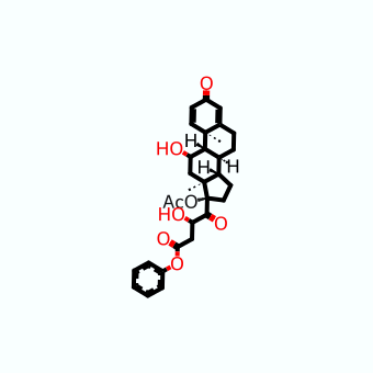 CC(=O)O[C@]1(C(=O)C(O)CC(=O)Oc2ccccc2)CC[C@H]2[C@@H]3CCC4=CC(=O)C=C[C@]4(C)[C@H]3C(O)C[C@@]21C